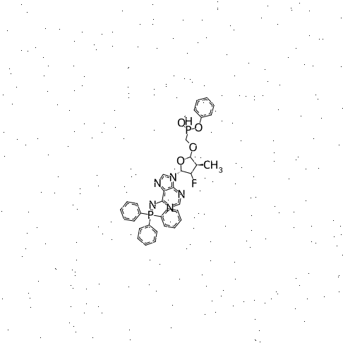 C[C@@H]1C(OC[PH](=O)Oc2ccccc2)O[C@@H](n2cnc3c(N=P(c4ccccc4)(c4ccccc4)c4ccccc4)ncnc32)C1F